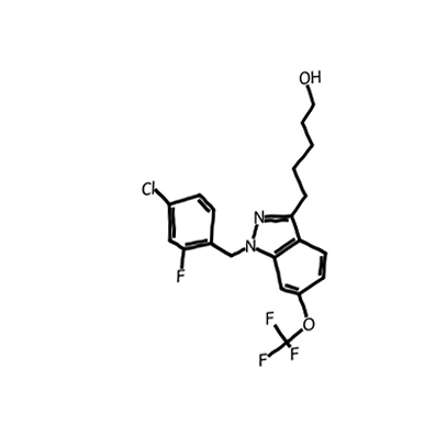 OCCCCCc1nn(Cc2ccc(Cl)cc2F)c2cc(OC(F)(F)F)ccc12